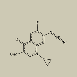 [N-]=[N+]=Nc1cc2c(cc1F)c(=O)c(C=O)cn2C1CC1